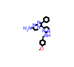 COc1ccc(CNc2nccc(-c3c(-c4ccccc4)nc4nc(N)ccn34)n2)cc1